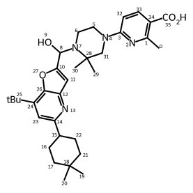 Cc1nc(N2CCN(C(O)c3cc4nc(C5CCC(C)(C)CC5)cc(C(C)(C)C)c4o3)C(C)(C)C2)ccc1C(=O)O